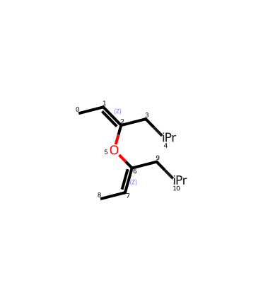 C/C=C(/CC(C)C)O/C(=C\C)CC(C)C